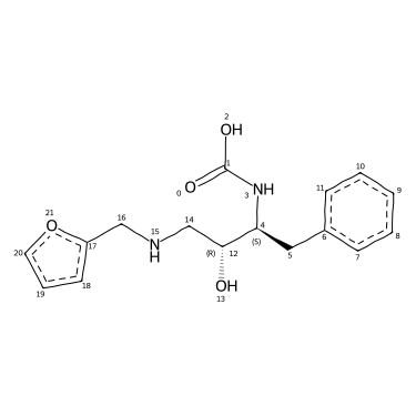 O=C(O)N[C@@H](Cc1ccccc1)[C@H](O)CNCc1ccco1